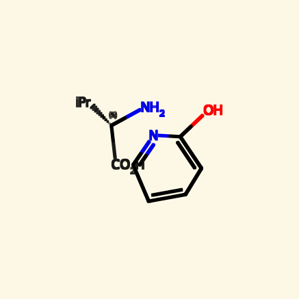 CC(C)[C@H](N)C(=O)O.Oc1ccccn1